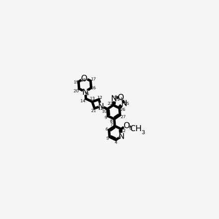 COc1ncccc1-c1cc(N2CC(CN3CCOCC3)C2)c2nonc2c1